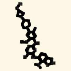 CCOC1CN(C2CCN(c3cc(OC)c(Nc4ncc(Br)c(Nc5ccc6c(c5P(C)C)ONO6)n4)cc3C)CC2)C1